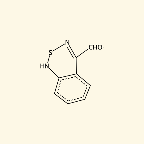 O=[C]C1=NSNc2ccccc21